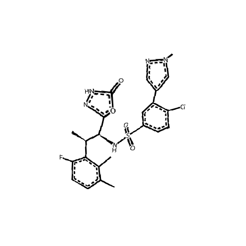 Cc1ccc(F)c([C@@H](C)[C@H](NS(=O)(=O)c2ccc(Cl)c(-c3cnn(C)c3)c2)c2n[nH]c(=O)o2)c1C